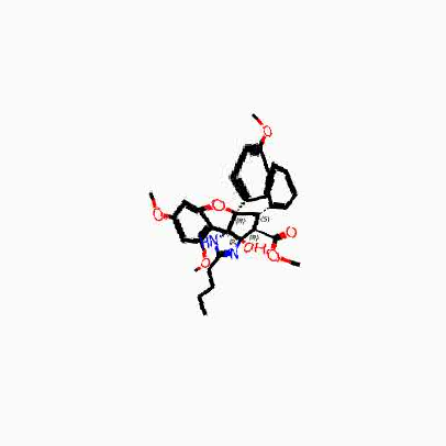 CCCCC1=N[C@@]2(O)[C@H](C(=O)OC)[C@@H](c3ccccc3)[C@]3(c4ccc(OC)cc4)Oc4cc(OC)cc(OC)c4[C@]23N1